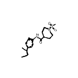 CCC(C)c1ccc(NC(=O)C2CCN(S(C)(=O)=O)CC2)cc1